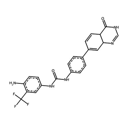 Nc1ccc(NC(=O)Nc2ccc(C3=CC4N=CNC(=O)C4C=C3)cc2)cc1C(F)(F)F